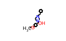 CCOc1ccc(C(O)N2CCCN(CCc3ccccc3)CC2)cc1